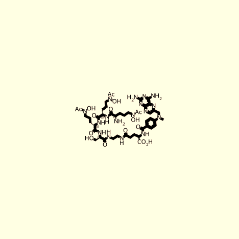 CC(=O)N(O)CCC[C@H](NC(=O)[C@H](CCCN(O)C(C)=O)NC(=O)[C@@H](N)CCCN(O)C(C)=O)C(=O)N[C@H](CO)C(=O)NCCNC(=O)CC[C@@H](NC(=O)c1ccc(N(C)Cc2cnc3nc(N)nc(N)c3n2)cc1)C(=O)O